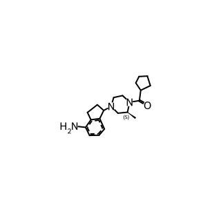 C[C@H]1CN(C2CCc3c(N)cccc32)CCN1C(=O)C1CCCC1